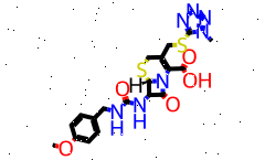 COc1ccc(CNC(=O)NC2C(=O)N3C(C(=O)O)=C(CSc4nnnn4C)CS[C@@H]23)cc1